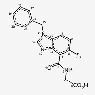 O=C(O)CNC(=O)c1c(F)ccc2c1ncn2Cc1ccccc1